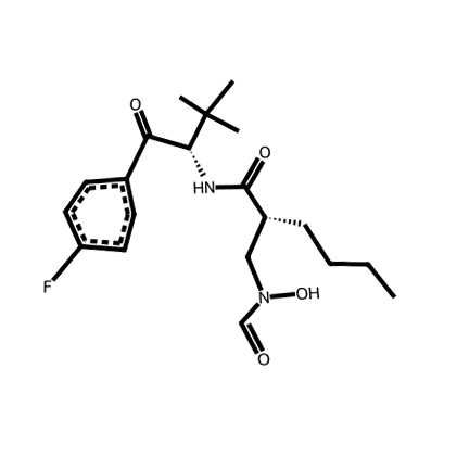 CCCC[C@H](CN(O)C=O)C(=O)N[C@H](C(=O)c1ccc(F)cc1)C(C)(C)C